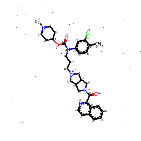 CC(=O)N1CCC(OC(=O)N(CCCN2CC3CN(C(=O)c4nccc5ccccc45)CC3C2)c2ccc(C)c(Cl)c2)CC1